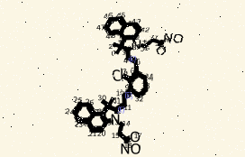 CC1(C)C(/C=C/C2=C(Cl)C(=C/C=C3/N(CCC(=O)N=O)c4ccc5ccccc5c4C3(C)C)/CCC2)=[N+](CCC(=O)N=O)c2ccc3ccccc3c21